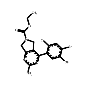 CCOC(=O)N1Cc2nc(N)nc(-c3cc(O)c(Br)cc3Cl)c2C1